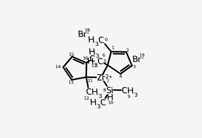 CC1=CC=C[C]1(C)[Zr+2]([SiH](C)C)[C]1(C)C=CC=C1C.[Br-].[Br-]